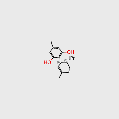 CC1=C[C@H](c2c(O)cc(C)cc2O)[C@H](C(C)C)CC1